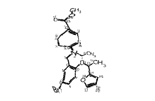 CCN(Cc1cc(Br)ccc1OC(C)c1ccco1)c1ccc(C(=O)OC)cn1